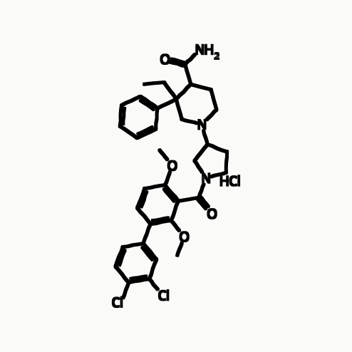 CCC1(c2ccccc2)CN(C2CCN(C(=O)c3c(OC)ccc(-c4ccc(Cl)c(Cl)c4)c3OC)C2)CCC1C(N)=O.Cl